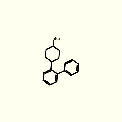 CCCCC1CCC(c2ccccc2-c2ccccc2)CC1